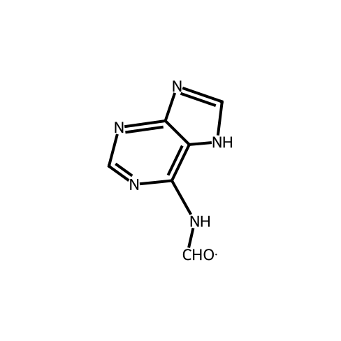 O=[C]Nc1ncnc2nc[nH]c12